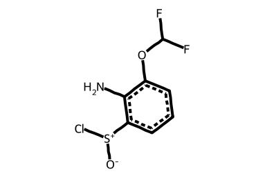 Nc1c(OC(F)F)cccc1[S+]([O-])Cl